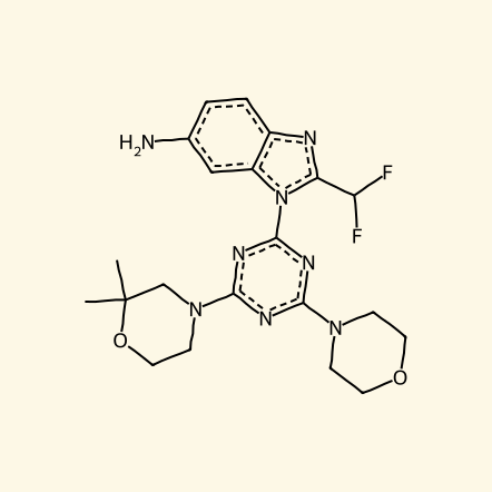 CC1(C)CN(c2nc(N3CCOCC3)nc(-n3c(C(F)F)nc4ccc(N)cc43)n2)CCO1